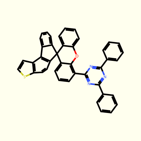 c1ccc(-c2nc(-c3ccccc3)nc(-c3cccc4c3Oc3ccccc3C43c4ccccc4-c4c3ccc3sccc43)n2)cc1